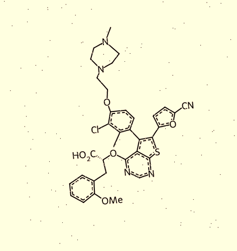 COc1ccccc1C[C@@H](Oc1ncnc2sc(-c3ccc(C#N)o3)c(-c3ccc(OCCN4CCN(C)CC4)c(Cl)c3C)c12)C(=O)O